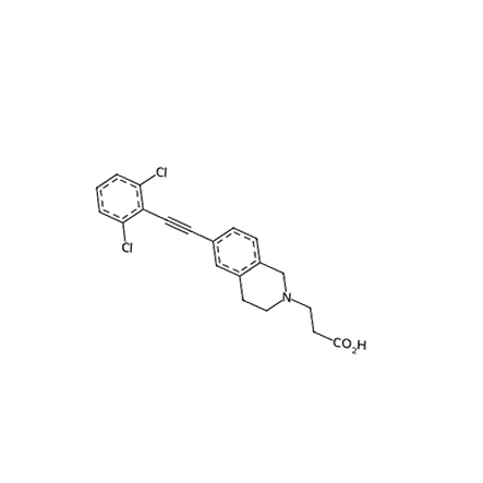 O=C(O)CCN1CCc2cc(C#Cc3c(Cl)cccc3Cl)ccc2C1